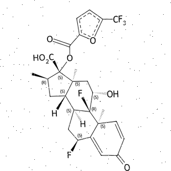 C[C@@H]1C[C@H]2[C@@H]3C[C@H](F)C4=CC(=O)C=C[C@]4(C)[C@@]3(F)[C@@H](O)C[C@]2(C)[C@]1(OC(=O)c1ccc(C(F)(F)F)o1)C(=O)O